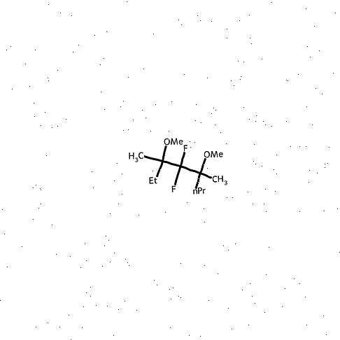 CCCC(C)(OC)C(F)(F)C(C)(CC)OC